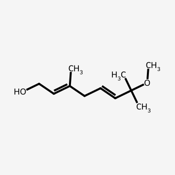 COC(C)(C)/C=C/C/C(C)=C/CO